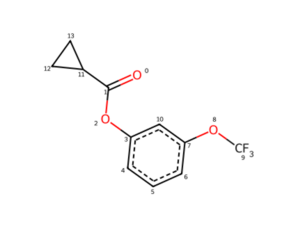 O=C(Oc1cccc(OC(F)(F)F)c1)C1CC1